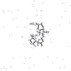 C=C(/C=C/C=C1/N(CC)c2ccc(S(=O)(=O)O)cc2C1(C)C)C(C)(C)c1cc(S(=O)(=O)O)ccc1C